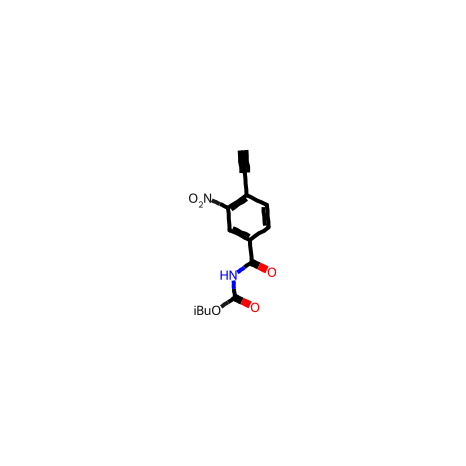 C#Cc1ccc(C(=O)NC(=O)OCC(C)C)cc1[N+](=O)[O-]